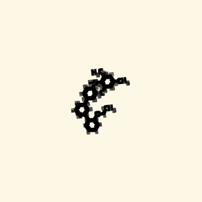 CCOc1ccccc1-c1cc(-c2ccc(Nc3c(C)cc(C)cc3C)cc2)ccn1